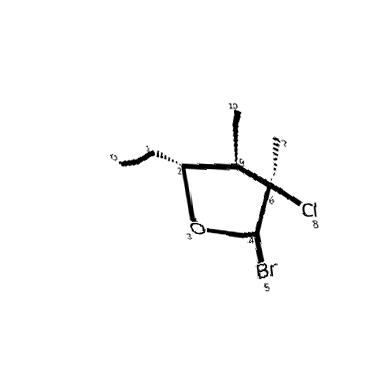 CC[C@H]1OC(Br)[C@](C)(Cl)[C@@H]1C